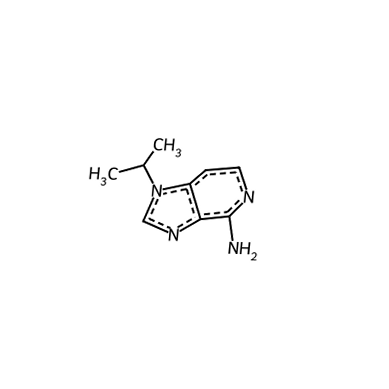 CC(C)n1cnc2c(N)nccc21